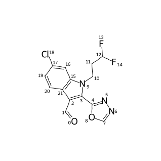 O=Cc1c(-c2nnco2)n(CCC(F)F)c2cc(Cl)ccc12